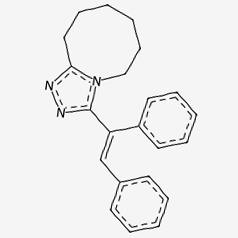 C(=C(/c1ccccc1)c1nnc2n1CCCCCC2)/c1ccccc1